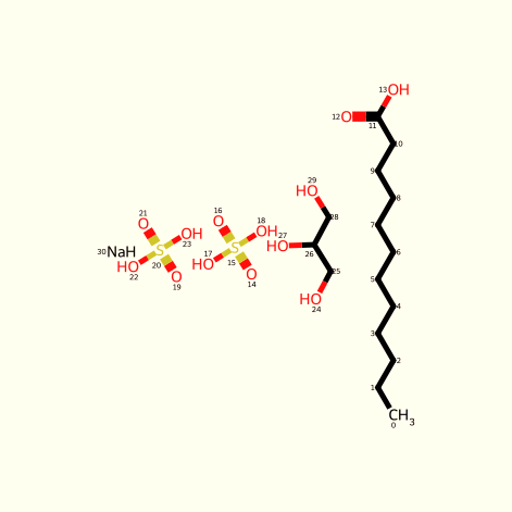 CCCCCCCCCCCC(=O)O.O=S(=O)(O)O.O=S(=O)(O)O.OCC(O)CO.[NaH]